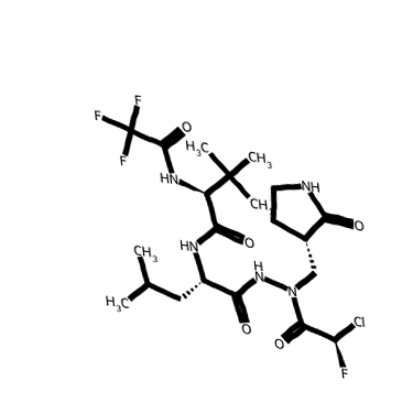 CC(C)C[C@H](NC(=O)[C@@H](NC(=O)C(F)(F)F)C(C)(C)C)C(=O)NN(C[C@@H]1CCNC1=O)C(=O)[C@H](F)Cl